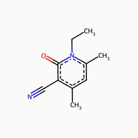 CCn1c(C)cc(C)c(C#N)c1=O